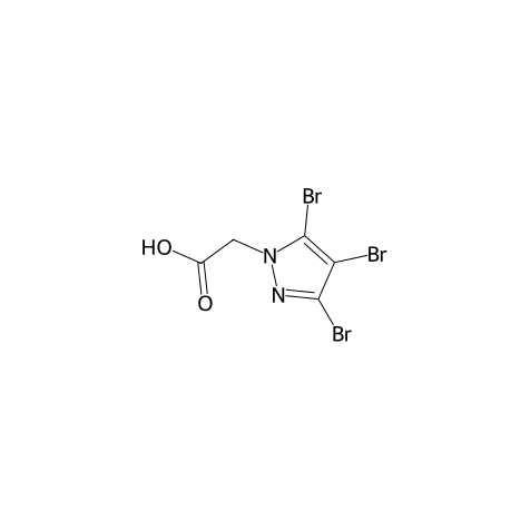 O=C(O)Cn1nc(Br)c(Br)c1Br